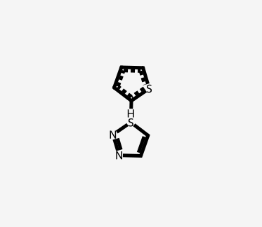 C1=C[SH](c2cccs2)N=N1